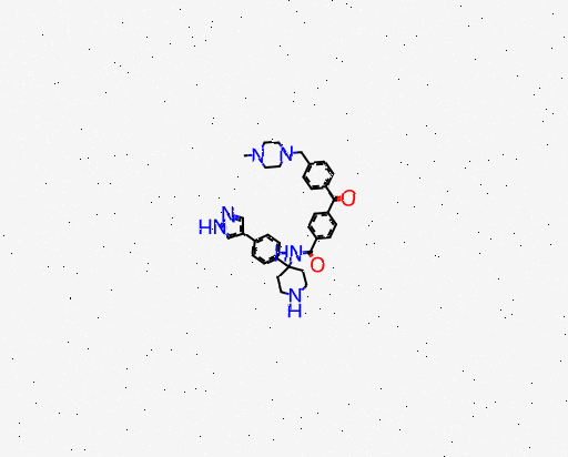 CN1CCN(Cc2ccc(C(=O)c3ccc(C(=O)NC4(c5ccc(-c6cn[nH]c6)cc5)CCNCC4)cc3)cc2)CC1